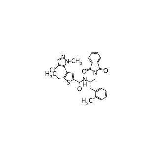 CCc1sc(C(=O)N[C@@H](Cc2ccccc2C)CN2C(=O)c3ccccc3C2=O)cc1-c1c(Cl)cnn1C